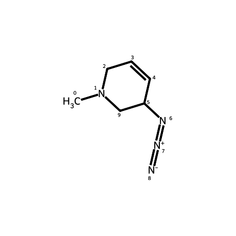 CN1CC=CC(N=[N+]=[N-])C1